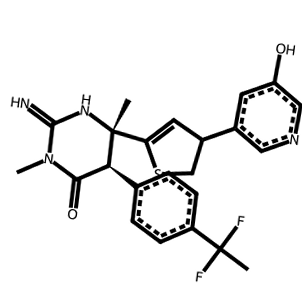 CN1C(=N)N[C@](C)(C2=CC(c3cncc(O)c3)CS2)[C@@H](c2ccc(C(C)(F)F)cc2)C1=O